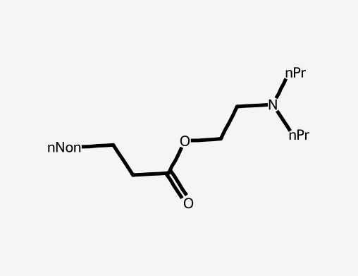 CCCCCCCCCCCC(=O)OCCN(CCC)CCC